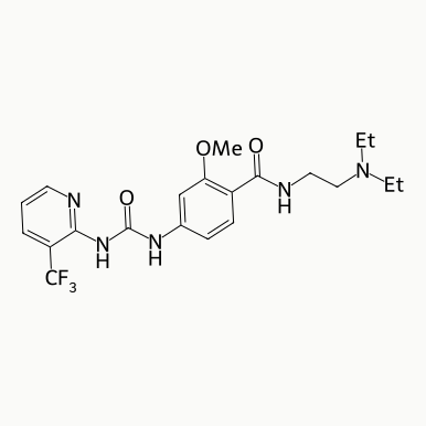 CCN(CC)CCNC(=O)c1ccc(NC(=O)Nc2ncccc2C(F)(F)F)cc1OC